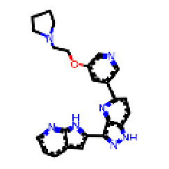 c1cnc2[nH]c(-c3n[nH]c4ccc(-c5cncc(OCCN6CCCC6)c5)nc34)cc2c1